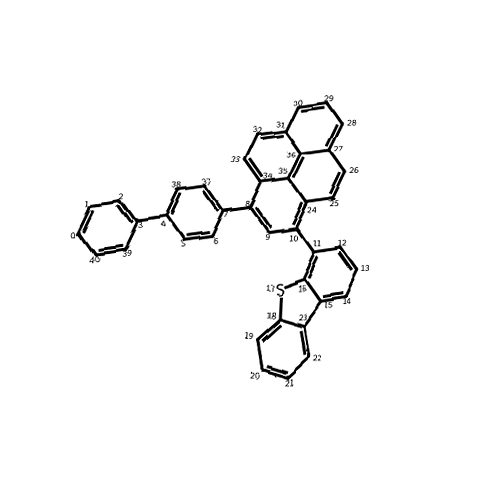 c1ccc(-c2ccc(-c3cc(-c4cccc5c4sc4ccccc45)c4ccc5cccc6ccc3c4c65)cc2)cc1